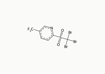 O=S(=O)(c1ccc(C(F)(F)F)cn1)C(Br)(Br)Br